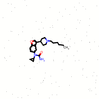 CCCCCCN1CCC(c2coc3ccc(N(C(N)=O)C4CC4)cc23)CC1